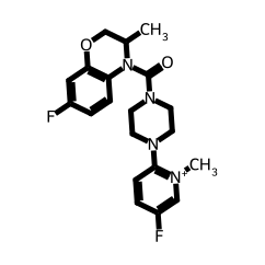 CC1COc2cc(F)ccc2N1C(=O)N1CCN(c2ccc(F)c[n+]2C)CC1